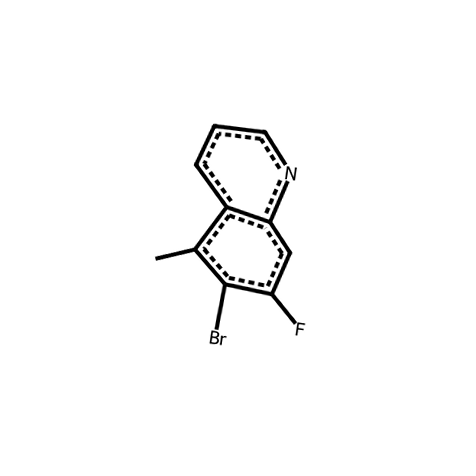 Cc1c(Br)c(F)cc2ncccc12